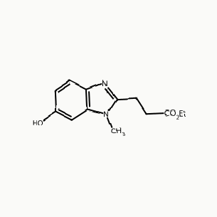 CCOC(=O)CCc1nc2ccc(O)cc2n1C